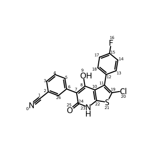 N#Cc1cccc(-c2c(O)c3c(-c4ccc(F)cc4)c(Cl)sc3[nH]c2=O)c1